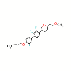 CCCCOc1ccc(-c2ccc(C3CCC(CCOC)OC3)c(F)c2F)cc1F